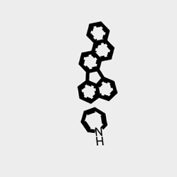 C1=CC=CNC=C1.c1cc2c3c(cccc3c1)-c1c-2ccc2c1ccc1ccccc12